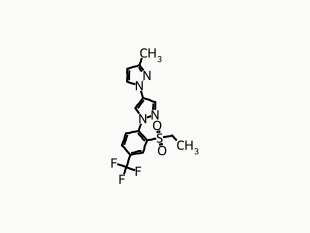 CCS(=O)(=O)c1cc(C(F)(F)F)ccc1-n1cc(-n2ccc(C)n2)cn1